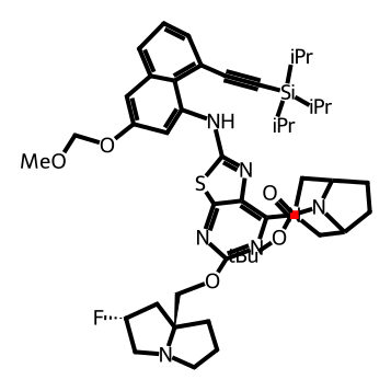 COCOc1cc(Nc2nc3c(N4CC5CCC(C4)N5C(=O)OC(C)(C)C)nc(OC[C@@]45CCCN4C[C@H](F)C5)nc3s2)c2c(C#C[Si](C(C)C)(C(C)C)C(C)C)cccc2c1